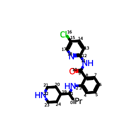 CC(C)C(Nc1ccccc1C(=O)Nc1ccc(Cl)cn1)C1CCNCC1